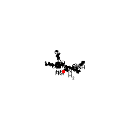 CCCCNC(=O)C(CC(O)C(N)CC(CNC(=O)c1ccc(OCCCN(C)C)cc1OCCCCOC)C(C)C)C(C)C.Cl.Cl